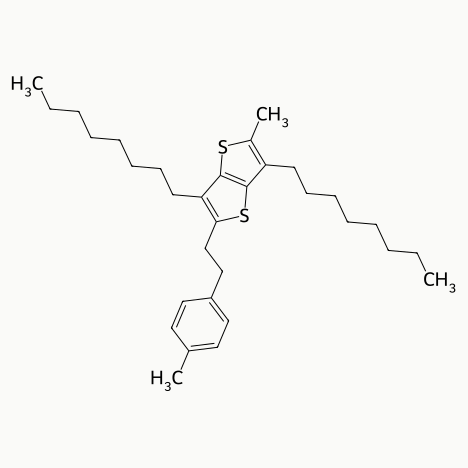 CCCCCCCCc1c(C)sc2c(CCCCCCCC)c(CCc3ccc(C)cc3)sc12